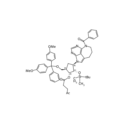 COc1ccc(C(OC[C@H]2C[C@@H](n3cc4c5c(ncnc53)N(C(=O)c3ccccc3)CCC4)[C@H](O[Si](C)(C)C(C)(C)C)[C@@H]2OC(=O)CCC(C)=O)(c2ccccc2)c2ccc(OC)cc2)cc1